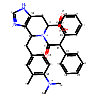 Cc1cc(CC2c3nc[nH]c3CC(C(=O)O)N2C(=O)C(c2ccccc2)c2ccccc2)ccc1N(C)C